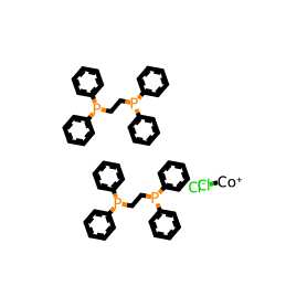 [Cl-].[Cl][Co+].c1ccc(P(CCP(c2ccccc2)c2ccccc2)c2ccccc2)cc1.c1ccc(P(CCP(c2ccccc2)c2ccccc2)c2ccccc2)cc1